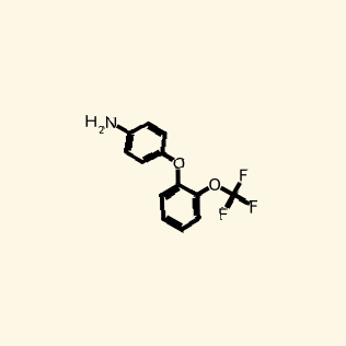 Nc1ccc(Oc2ccccc2OC(F)(F)F)cc1